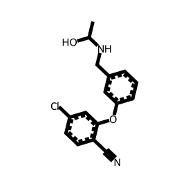 CC(O)NCc1cccc(Oc2cc(Cl)ccc2C#N)c1